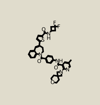 Cc1cnc(N2CC3(CCOCC3)C2)c(C(=O)Nc2ccc(C(=O)N3CCC(c4ccc(C(=O)NC5CC(F)(F)C5)s4)=Cc4ccccc43)cc2)c1